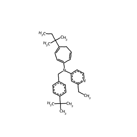 CCc1cc(N(Cc2ccc(C(C)(C)C)cc2)C2=CC=C(C(C)(C)CC)CC=C2)ccn1